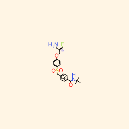 CC(C)(C)NC(=O)C12CCC(CS(=O)(=O)c3ccc(OC/C(=C/F)CN)cc3)(CC1)CC2